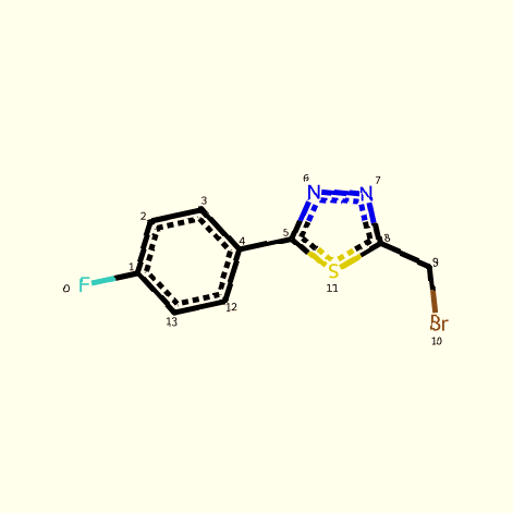 Fc1ccc(-c2nnc(CBr)s2)cc1